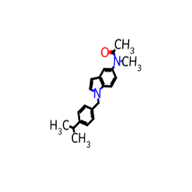 CC(=O)N(C)c1ccc2c(ccn2Cc2ccc(C(C)C)cc2)c1